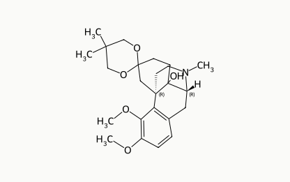 COc1ccc2c(c1OC)[C@]13CCN(C)[C@H](C2)C1(O)CCC1(C3)OCC(C)(C)CO1